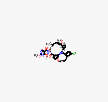 COc1ncc(C(=O)NS2(=O)=NC(=O)c3ccc4c(c3)N(Cc3ccc(Cl)cc3CCCCO4)C[C@@H]3CC[C@H]3[C@@H](OC)/C=C/C[C@H](C)C2)c(OC)n1